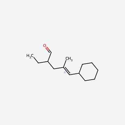 CCC(C=O)C/C(C)=C/C1CCCCC1